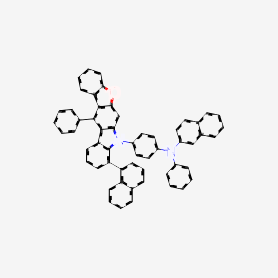 c1ccc(-c2c3c(cc4c2c2cccc(-c5cccc6ccccc56)c2n4-c2ccc(N(c4ccccc4)c4ccc5ccccc5c4)cc2)oc2ccccc23)cc1